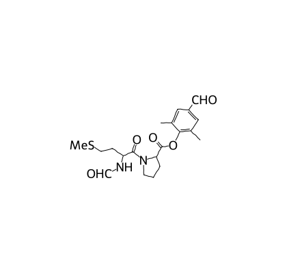 CSCCC(NC=O)C(=O)N1CCCC1C(=O)Oc1c(C)cc(C=O)cc1C